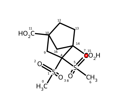 CS(=O)(=O)C1(S(C)(=O)=O)CC2(C(=O)O)CCC1(C(=O)O)C2